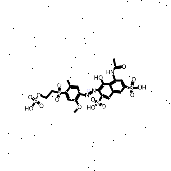 COc1cc(S(=O)(=O)CCOS(=O)(=O)O)c(C)cc1/N=N/c1c(S(=O)(=O)O)cc2cc(S(=O)(=O)O)cc(NC(C)=O)c2c1O